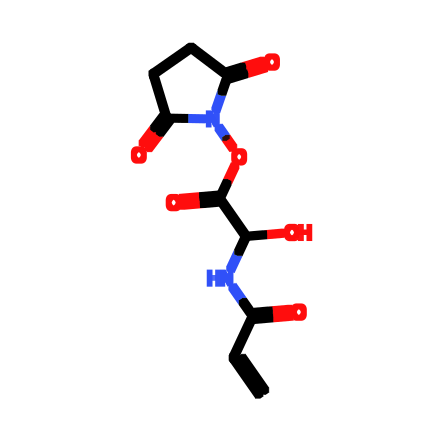 C=CC(=O)NC(O)C(=O)ON1C(=O)CCC1=O